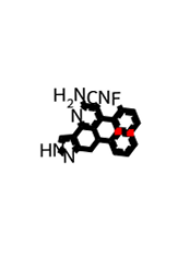 N#Cc1c(N)nc2c(c1-c1ccccc1F)C(c1ccccc1)Cc1n[nH]cc1-2